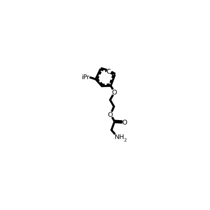 CC(C)c1cccc(OCCOC(=O)CN)c1